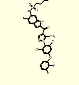 Nc1c(C(=O)c2cc3cc(F)c(NS(=O)(=O)CCCF)cc3[nH]2)cnn1-c1c(Cl)cc(Oc2cccc(F)c2F)cc1Cl